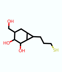 OCC1CC2C(CCCS)C2C(O)C1O